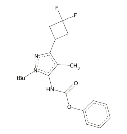 Cc1c(C2CC(F)(F)C2)nn(C(C)(C)C)c1NC(=O)Oc1ccccc1